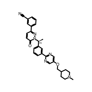 C[C@@H](c1cccc(-c2ncc(OCC3CCN(C)CC3)cn2)c1)n1nc(-c2cccc(C#N)c2)ccc1=O